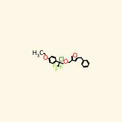 CCOc1ccc(C(Cl)(COCc2coc(Cc3ccccc3)c2)C(F)(F)F)cc1